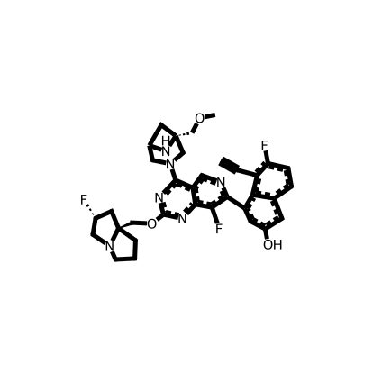 C#Cc1c(F)ccc2cc(O)cc(-c3ncc4c(N5CC6C[C@@](COC)(C5)N6)nc(OC[C@@]56CCCN5C[C@H](F)C6)nc4c3F)c12